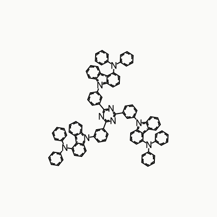 c1ccc(N(c2ccccc2)c2cccc3c2c2ccccc2n3-c2cccc(-c3nc(-c4cccc(-n5c6ccccc6c6c(N(c7ccccc7)c7ccccc7)cccc65)c4)nc(-c4cccc(-n5c6ccccc6c6c(N(c7ccccc7)c7ccccc7)cccc65)c4)n3)c2)cc1